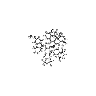 Cc1cc2c(cc1N1c3cc4c(cc3B3c5cc6c(cc5N(c5cccc7oc8ccccc8c57)c5cc(N7c8ccc(C(C)(C)C)cc8C8(C)CCCCC78C)cc1c53)C(C)(C)CCC6(C)C)C(C)(C)CCC4(C)C)C(C)(C)CC2(C)C